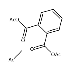 CC(=O)OC(=O)c1ccccc1C(=O)OC(C)=O.CC(C)=O